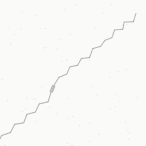 [CH2]CCCCCCCCC#CCCCCCCCCCCCCCC[CH2]